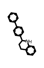 c1ccc(-c2ccc(C3CCc4ccccc4N3)cc2)cc1